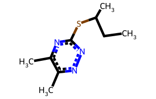 CCC(C)Sc1nnc(C)c(C)n1